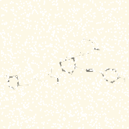 O=C1CN(c2ncc(C(=O)NCCCc3cn[nH]c3)cc2C#Cc2ccc(F)cc2)CCN1